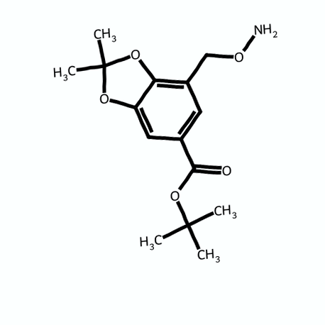 CC(C)(C)OC(=O)c1cc(CON)c2c(c1)OC(C)(C)O2